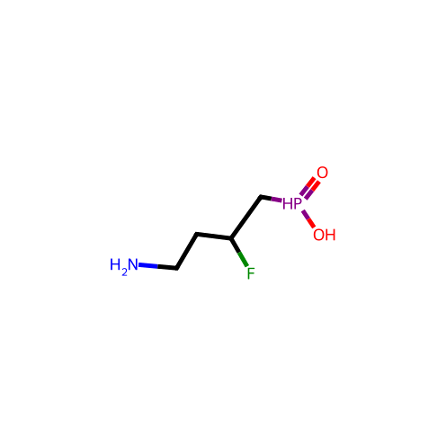 NCCC(F)C[PH](=O)O